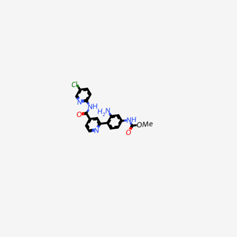 COC(=O)Nc1ccc(-c2cc(C(=O)Nc3ccc(Cl)cn3)ccn2)c(N)c1